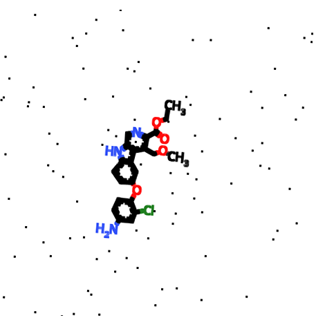 CCOC(=O)c1ncc2[nH]c3ccc(Oc4ccc(N)cc4Cl)cc3c2c1COC